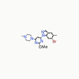 COc1nc(N2CCN(C)CC2)cc(-n2ncc3cc(C)c(Br)cc32)n1